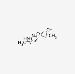 Cc1nc2ccc(Oc3ccc(C)c(C)c3)nc2[nH]1